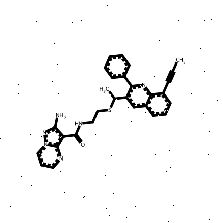 CC#Cc1cccc2cc(C(C)SCCNC(=O)c3c(N)nn4cccnc34)c(-c3ccccc3)nc12